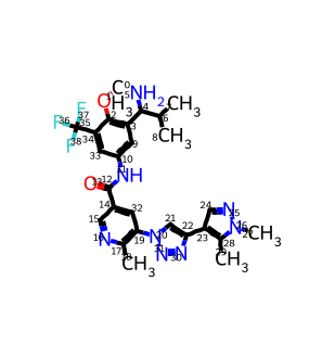 COc1c(C(N)C(C)C)cc(NC(=O)c2cnc(C)c(-n3cc(-c4cnn(C)c4C)nn3)c2)cc1C(F)(F)F